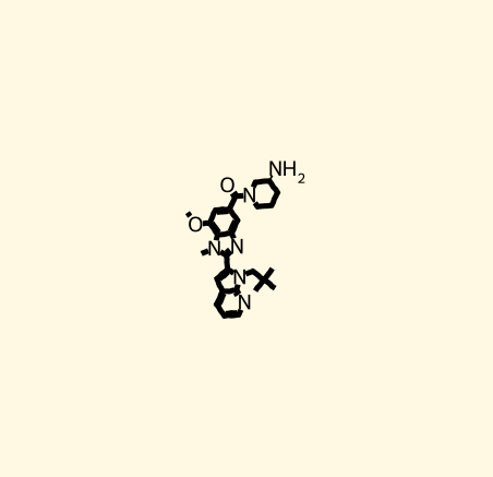 COc1cc(C(=O)N2CCC[C@@H](N)C2)cc2nc(-c3cc4cccnc4n3CC(C)(C)C)n(C)c12